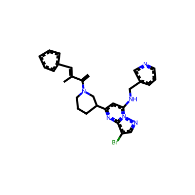 C=C(/C(C)=C/c1ccccc1)N1CCCC(c2cc(NCc3cccnc3)n3ncc(Br)c3n2)C1